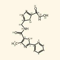 Cc1nc(-c2ccccn2)sc1C(=O)NCc1ncc(C(=O)NO)s1